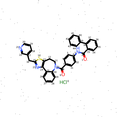 Cl.O=C(Nc1ccc(C(=O)N2CCc3sc(Cc4cccnc4)nc3-c3ccccc32)cc1)c1ccccc1-c1ccccc1